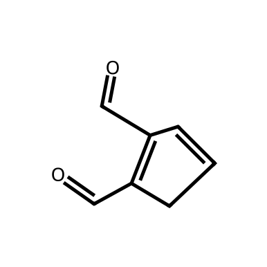 O=CC1=C(C=O)CC=C1